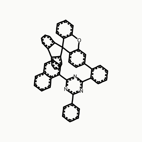 c1ccc(-c2nc(-c3ccccc3-c3ccc4c(c3)Oc3ccccc3C43c4ccccc4-c4ccccc43)nc(-c3cccc4ccccc34)n2)cc1